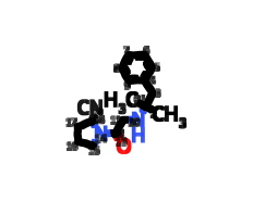 CC(C)(Cc1ccccc1)NCC(=O)N1CCCC1C#N